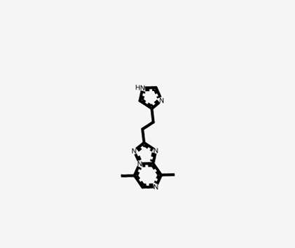 Cc1ncc(C)n2nc(CCc3c[nH]cn3)nc12